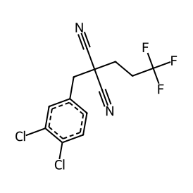 N#CC(C#N)(CCC(F)(F)F)Cc1ccc(Cl)c(Cl)c1